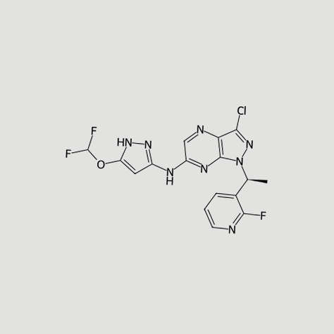 C[C@@H](c1cccnc1F)n1nc(Cl)c2ncc(Nc3cc(OC(F)F)[nH]n3)nc21